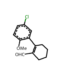 COc1ccc(Cl)cc1C1=C(C=O)CCCC1